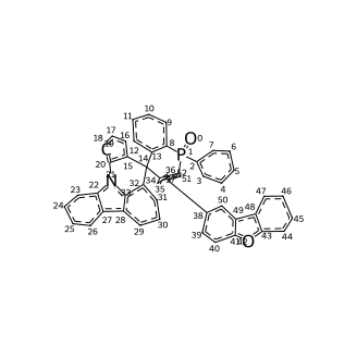 O=P1(c2ccccc2)c2ccccc2C2(c3ccccc3-n3c4ccccc4c4cccc2c43)c2ccc(-c3ccc4oc5ccccc5c4c3)cc21